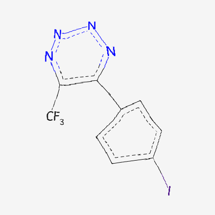 FC(F)(F)c1nnnnc1-c1ccc(I)cc1